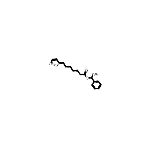 CCCCCC/C=C\CCCCCCCC(=O)OC(CCC)c1ccccc1